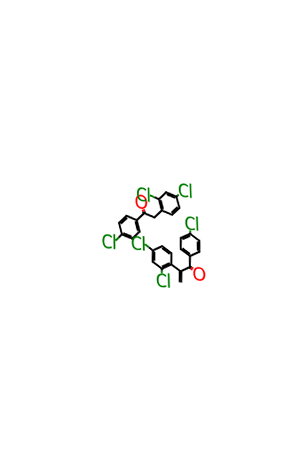 C=C(C(=O)c1ccc(Cl)cc1)c1ccc(Cl)cc1Cl.O=C(Cc1ccc(Cl)cc1Cl)c1ccc(Cl)cc1